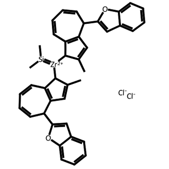 CC1=CC2=C(C=CC=CC2c2cc3ccccc3o2)[CH]1[Zr+2]([CH]1C(C)=CC2=C1C=CC=CC2c1cc2ccccc2o1)=[Si](C)C.[Cl-].[Cl-]